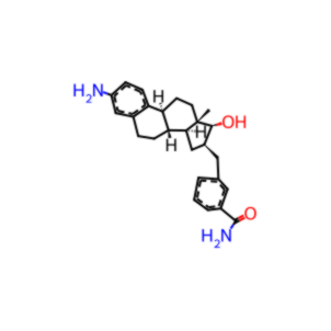 C[C@]12CC[C@@H]3c4ccc(N)cc4CC[C@H]3[C@@H]1C[C@H](Cc1cccc(C(N)=O)c1)[C@@H]2O